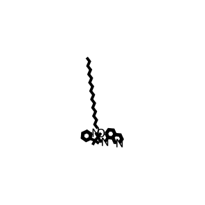 CCCCCCCCCCCCCCCCCCN1c2ccccc2C(C)(C)C12C=Nc1c(ccc3ccncc13)O2